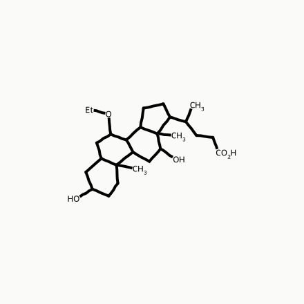 CCOC1CC2CC(O)CCC2(C)C2CC(O)C3(C)C(C(C)CCC(=O)O)CCC3C12